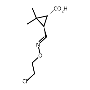 CC1(C)[C@H](C=NOCCCl)[C@H]1C(=O)O